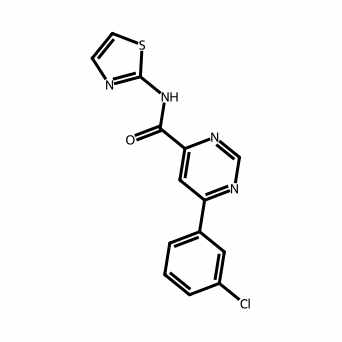 O=C(Nc1nccs1)c1cc(-c2cccc(Cl)c2)ncn1